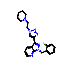 Fc1ccccc1Cn1nc(-c2cn(CCN3CCCCC3)nn2)c2cccnc21